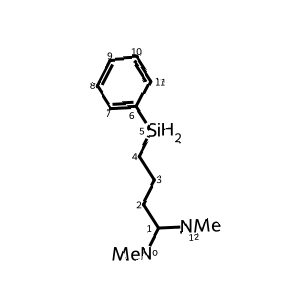 CNC(CCC[SiH2]c1ccccc1)NC